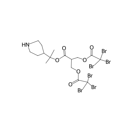 CC(C)(OC(=O)C(COC(=O)C(Br)(Br)Br)COC(=O)C(Br)(Br)Br)C1CCNCC1